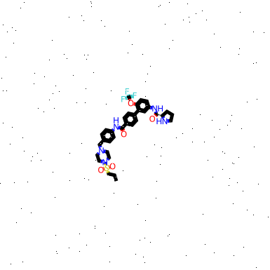 CCCS(=O)(=O)N1CCN(Cc2ccc(NC(=O)c3ccc(-c4cc(NC(=O)[C@@H]5CCCN5)ccc4OC(F)(F)F)cc3)cc2)CC1